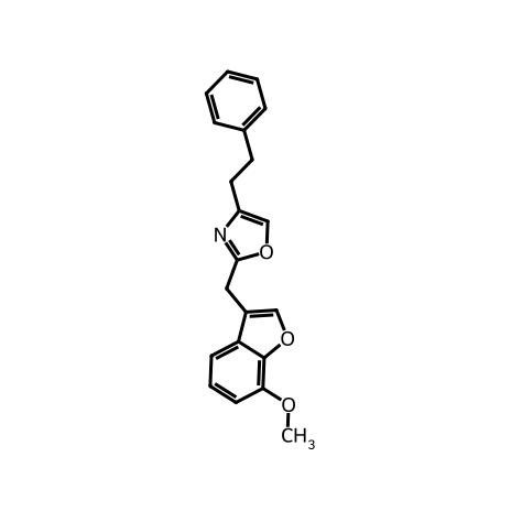 COc1cccc2c(Cc3nc(CCc4ccccc4)co3)coc12